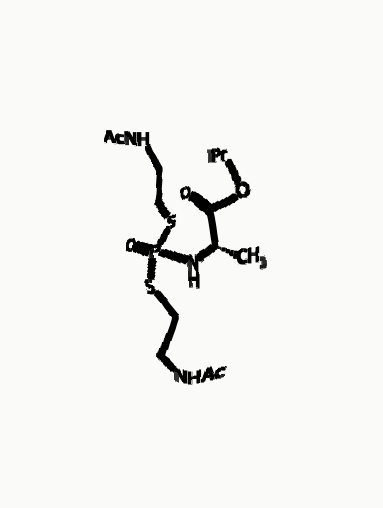 CC(=O)NCCSP(=O)(N[C@@H](C)C(=O)OC(C)C)SCCNC(C)=O